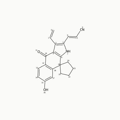 C=Cc1c(/C=C/C#N)[nH]c2c1C(=O)c1ccc(O)cc1C21CCCC1